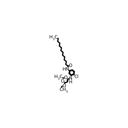 CCCCCCCCCCCCCC(=O)Nc1ccc(Cl)c(NC(=CC(=O)OCC)OCC)c1